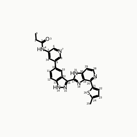 CCC(=O)Nc1cncc(-c2ccc3[nH]nc(-c4nc5c(-c6ccc(C)s6)nccc5[nH]4)c3c2)c1